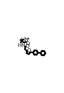 CNC(=O)C(NC(=O)Cc1ccc(-c2ccc(-c3ccccc3)cc2)o1)C(C)(C)C